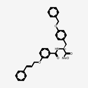 COC(=O)[C@H](Cc1ccc(OCc2ccccc2)cc1)NC(=O)c1cccc(OCC=Cc2ccccc2)c1